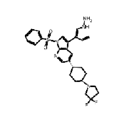 C=C/C(=C\NN)c1cn(S(=O)(=O)c2ccccc2)c2ncc([C@H]3CC[C@H](N4CCC(F)(F)C4)CC3)cc12